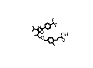 Cc1cc(COCC(C)c2oc(-c3ccc(C(F)F)cc3)nc2C(C)C)ccc1CCC(=O)O